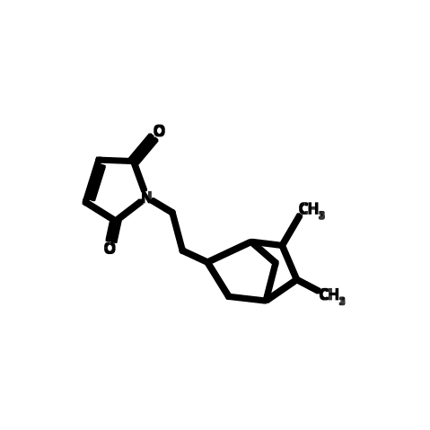 CC1C2CC(CCN3C(=O)C=CC3=O)C(C2)C1C